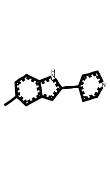 Cc1ccc2[nH]c(-c3ccncc3)cc2c1